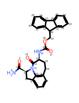 NC(=O)[C@@H]1Cc2cccc3c2N1C(=O)[C@@H](NC(=O)OCC1c2ccccc2-c2ccccc21)CC3